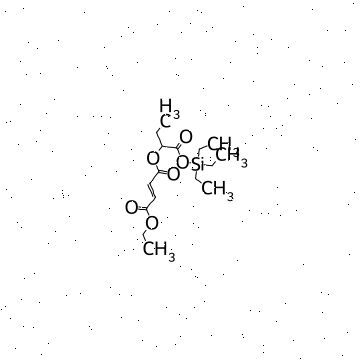 CCOC(=O)C=CC(=O)OC(CC)C(=O)O[Si](CC)(CC)CC